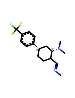 C/N=C/C1CC[C@H](c2ccc(C(F)(F)F)cc2)C[C@@H]1N(C)C